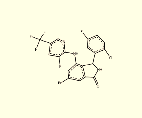 O=C1NC(c2cc(F)ccc2Cl)c2c(Nc3ncc(C(F)(F)F)cc3F)cc(Br)cc21